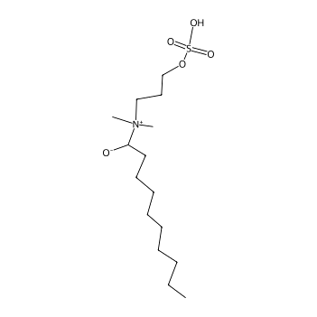 CCCCCCCCCC([O-])[N+](C)(C)CCCOS(=O)(=O)O